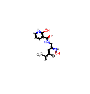 CC/C(=C\C(CNC(=O)c1cccnc1O)=N/O)C(C)[N+](=O)[O-]